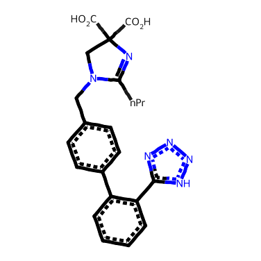 CCCC1=NC(C(=O)O)(C(=O)O)CN1Cc1ccc(-c2ccccc2-c2nnn[nH]2)cc1